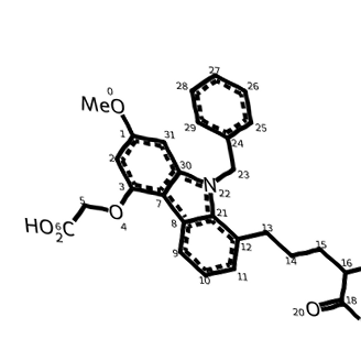 COc1cc(OCC(=O)O)c2c3cccc(CCCC(C)C(N)=O)c3n(Cc3ccccc3)c2c1